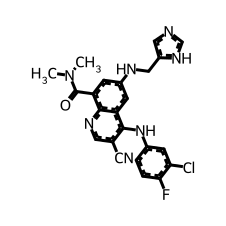 CN(C)C(=O)c1cc(NCc2cnc[nH]2)cc2c(Nc3ccc(F)c(Cl)c3)c(C#N)cnc12